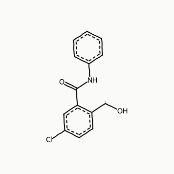 O=C(Nc1ccccc1)c1cc(Cl)ccc1[CH]O